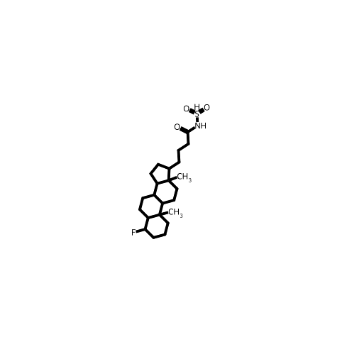 CC12CCC3C(CCC4C(F)CCCC43C)C1CCC2CCCC(=O)N[SH](=O)=O